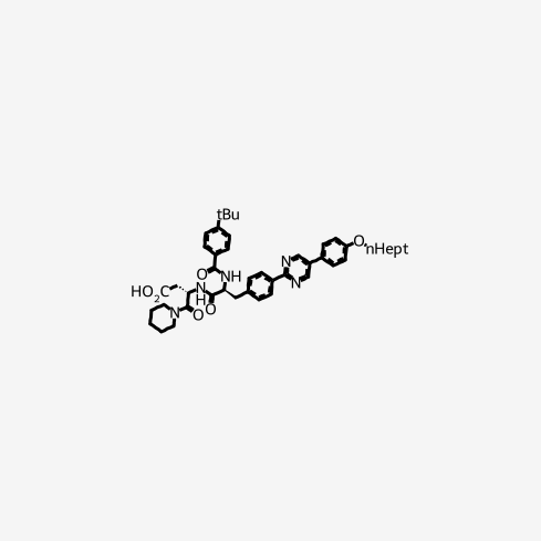 CCCCCCCOc1ccc(-c2cnc(-c3ccc(C[C@H](NC(=O)c4ccc(C(C)(C)C)cc4)C(=O)N[C@@H](CC(=O)O)C(=O)N4CCCCC4)cc3)nc2)cc1